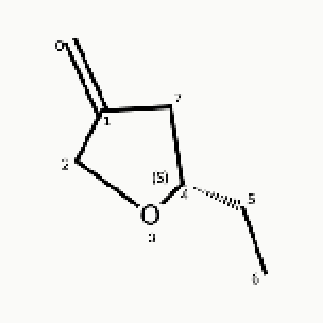 C=C1CO[C@@H](CC)C1